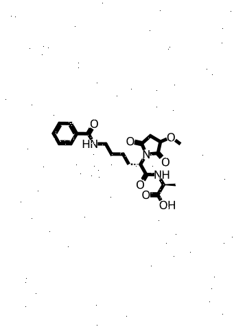 COC1CC(=O)N([C@@H](CCCCNC(=O)c2ccccc2)C(=O)N[C@@H](C)C(=O)O)C1=O